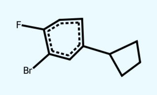 Fc1ccc(C2CCC2)cc1Br